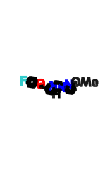 COc1cccc(N2CCN3C[C@H](COc4ccc(F)cc4)CC[C@H]3C2)n1